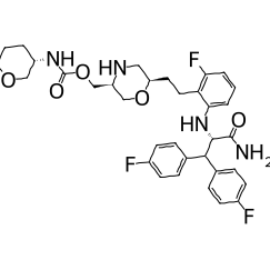 NC(=O)[C@@H](Nc1cccc(F)c1CC[C@@H]1CN[C@H](COC(=O)N[C@H]2CCCOC2)CO1)C(c1ccc(F)cc1)c1ccc(F)cc1